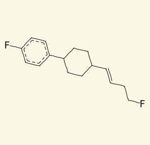 FCC/C=C/C1CCC(c2ccc(F)cc2)CC1